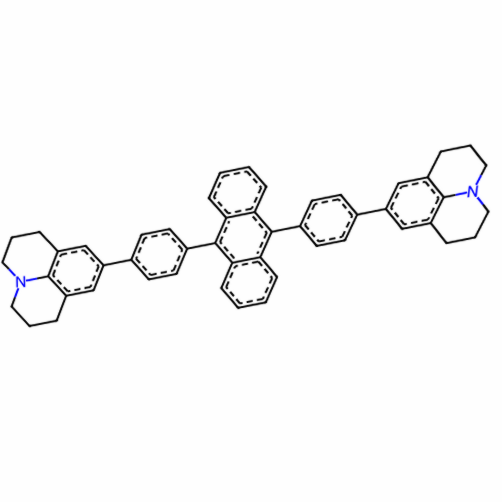 c1ccc2c(-c3ccc(-c4cc5c6c(c4)CCCN6CCC5)cc3)c3ccccc3c(-c3ccc(-c4cc5c6c(c4)CCCN6CCC5)cc3)c2c1